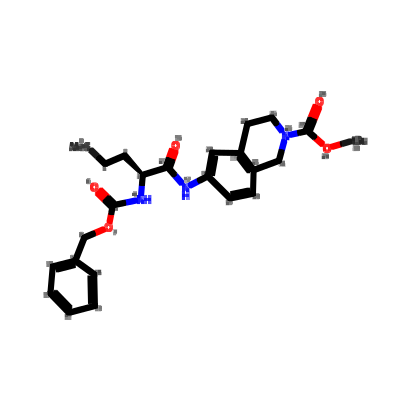 CSCC[C@H](NC(=O)OCc1ccccc1)C(=O)Nc1ccc2c(c1)CCN(C(=O)OC(C)(C)C)C2